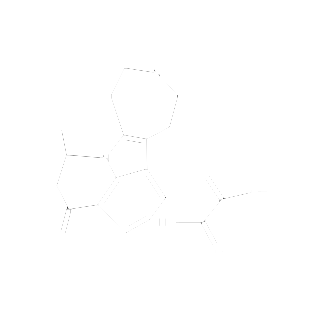 CC1CC(=O)c2cccc3c4c(n1c23)CCNCC4.O=C(O)C(=O)O